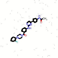 CC(=O)Nc1ccc(-c2ccnc(Nc3cccc(C(=O)N4CCN(c5ccccc5F)CC4)c3)n2)cc1